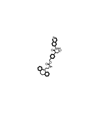 CN(CCN1c2ccccc2CCc2ccccc21)C(=O)OCc1ccc(C(CN)C(=O)Nc2ccc3cnccc3c2)cc1